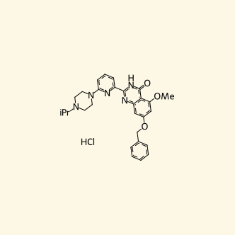 COc1cc(OCc2ccccc2)cc2nc(-c3cccc(N4CCN(C(C)C)CC4)n3)[nH]c(=O)c12.Cl